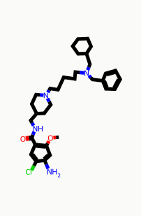 COc1cc(N)c(Cl)cc1C(=O)NCC1CCN(CCCCCN(Cc2ccccc2)CC2CCCCC2)CC1